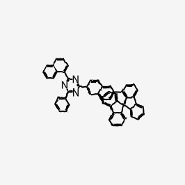 c1ccc(-c2nc(-c3ccc4cc(-c5cccc6c5C5(c7ccccc7-c7ccccc75)c5ccccc5-6)ccc4c3)nc(-c3cccc4ccccc34)n2)cc1